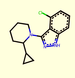 Clc1cccc2[nH]nc(N3CCCCC3C3CC3)c12